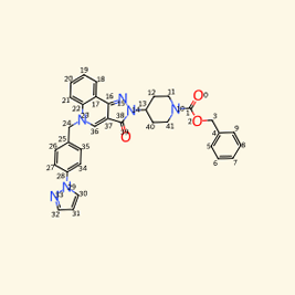 O=C(OCc1ccccc1)N1CCC(n2nc3c4ccccc4n(Cc4ccc(-n5cccn5)cc4)cc-3c2=O)CC1